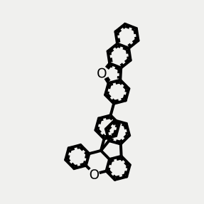 c1ccc2c(c1)Oc1cccc3c1C2(c1ccc(-c2ccc4c(c2)oc2cc5ccccc5cc24)cc1)c1ccccc1-3